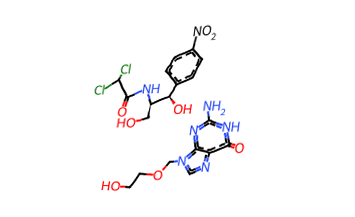 Nc1nc2c(ncn2COCCO)c(=O)[nH]1.O=C(N[C@H](CO)[C@H](O)c1ccc([N+](=O)[O-])cc1)C(Cl)Cl